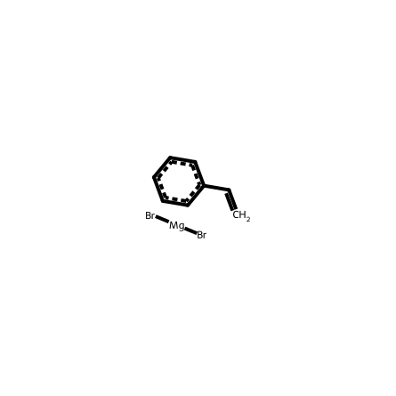 C=Cc1ccccc1.[Br][Mg][Br]